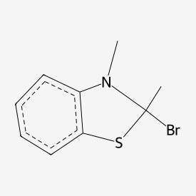 CN1c2ccccc2SC1(C)Br